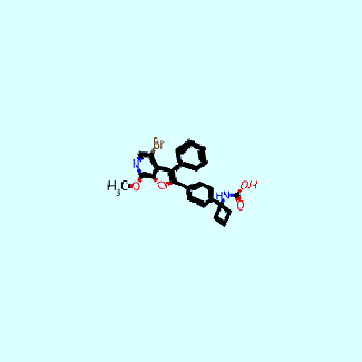 COc1ncc(Br)c2c(-c3ccccc3)c(-c3ccc(C4(NC(=O)O)CCC4)cc3)oc12